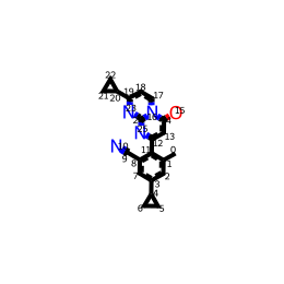 Cc1cc(C2CC2)cc(C#N)c1-c1cc(=O)n2ccc(C3CC3)nc2n1